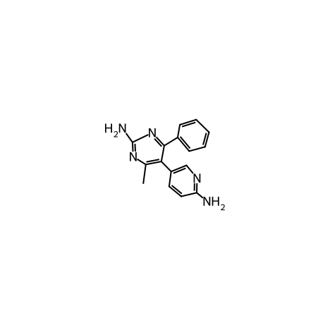 Cc1nc(N)nc(-c2ccccc2)c1-c1ccc(N)nc1